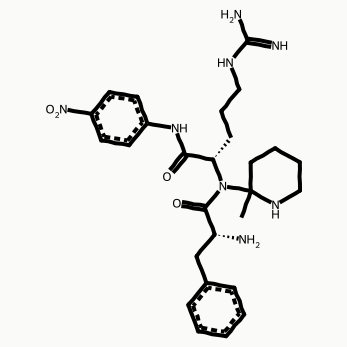 CC1(N(C(=O)[C@H](N)Cc2ccccc2)[C@@H](CCCNC(=N)N)C(=O)Nc2ccc([N+](=O)[O-])cc2)CCCCN1